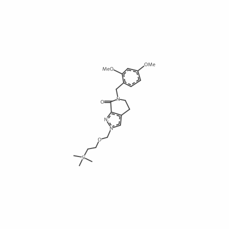 COc1ccc(CN2CCc3cn(COCC[Si](C)(C)C)nc3C2=O)c(OC)c1